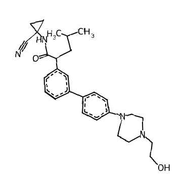 CC(C)CC(C(=O)NC1(C#N)CC1)c1cccc(-c2ccc(N3CCN(CCO)CC3)cc2)c1